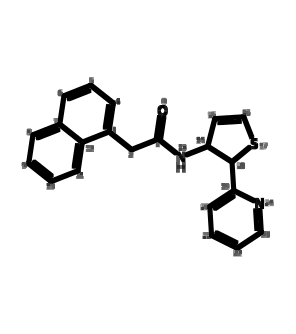 O=C(Cc1cccc2ccccc12)NC1C=CSC1c1ccccn1